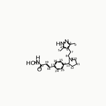 Cc1n[nH]c(C)c1CCN1CCCC1c1ccc(C=CC(=O)NO)cc1